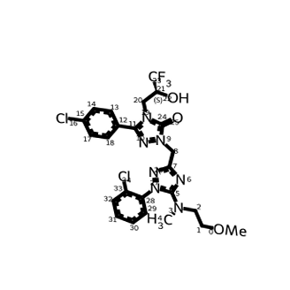 COCCN(C)c1nc(Cn2nc(-c3ccc(Cl)cc3)n(C[C@H](O)C(F)(F)F)c2=O)nn1-c1ccccc1Cl